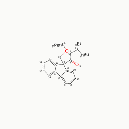 CCCCCOCC1(C(=O)CC(CC)CCCC)c2ccccc2-c2ccccc21